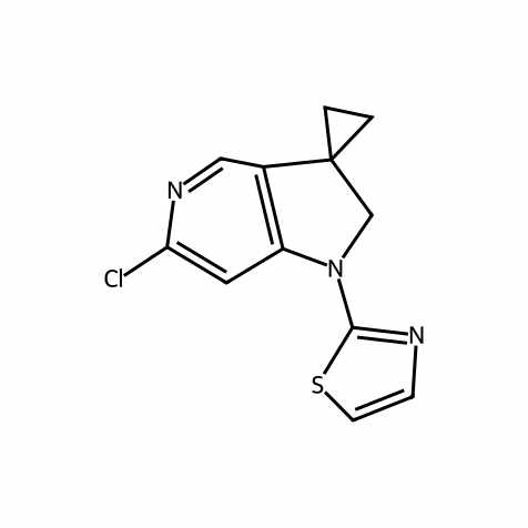 Clc1cc2c(cn1)C1(CC1)CN2c1nccs1